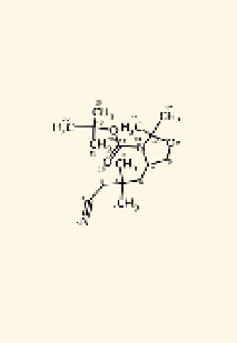 CC(C)(CC#N)CC1COC(C)(C)N1C(=O)OC(C)(C)C